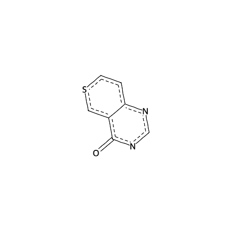 O=c1ncnc2ccscc1-2